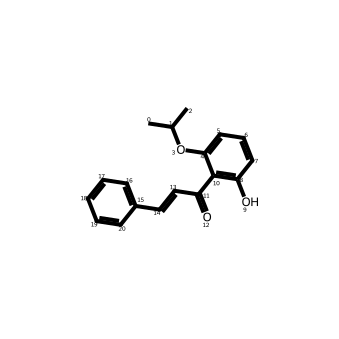 CC(C)Oc1cccc(O)c1C(=O)C=Cc1ccccc1